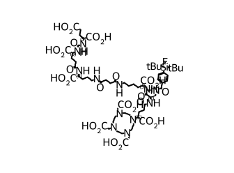 CC(C)(C)[Si](F)(c1ccc(C(=O)NC[C@@H](NC(=O)CC[C@@H](C(=O)O)N2CCN(CC(=O)O)CCN(CC(=O)O)CCN(CC(=O)O)CC2)C(=O)N[C@@H](CCCCNC(=O)CCC(=O)NCCC[C@@H](NC(=O)CC[C@H](NC(=O)N[C@@H](CCC(=O)O)C(=O)O)C(=O)O)C(=O)O)C(=O)O)cc1)C(C)(C)C